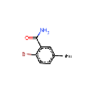 CCCCc1ccc(Br)c(C(N)=O)c1